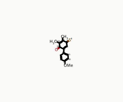 COc1ccc(C2=CC(=S)C(C)=C(C)C2=O)cc1